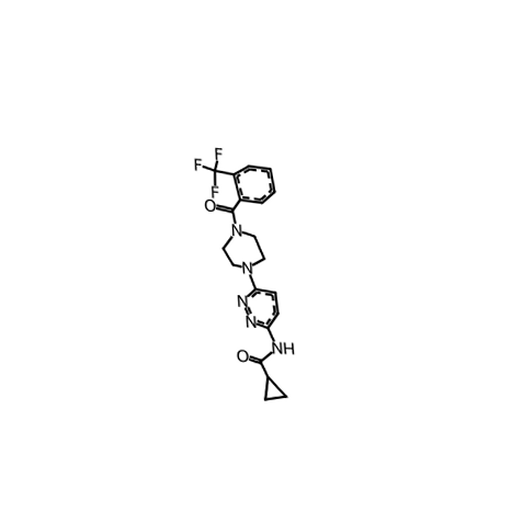 O=C(Nc1ccc(N2CCN(C(=O)c3ccccc3C(F)(F)F)CC2)nn1)C1CC1